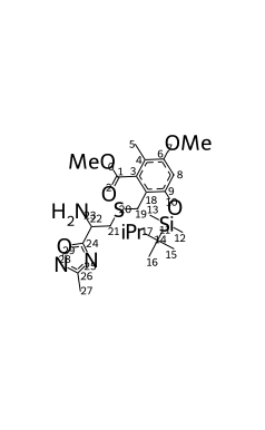 COC(=O)c1c(C)c(OC)cc(O[Si](C)(C)C(C)(C)C(C)C)c1CSCC(N)c1nc(C)no1